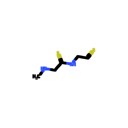 CNCC(=S)NCC=S